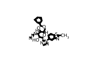 Cc1nc2cc(-n3ncnc3[C@@H]3O[C@@H]4COC(c5ccccc5)O[C@@H]4[C@H](N=[N+]=[N-])[C@H]3O)ccc2s1